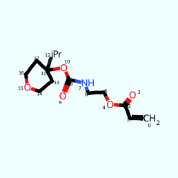 C=CC(=O)OCCNC(=O)OC1(C(C)C)CCOCC1